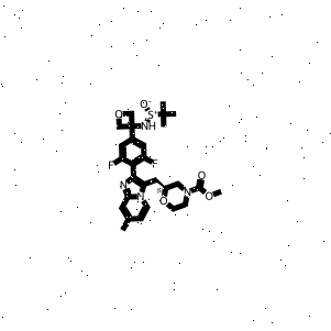 COC(=O)N1CCO[C@@H](Cc2c(-c3c(F)cc(C4(N[S+]([O-])C(C)(C)C)COC4)cc3F)nc3cc(C)ccn23)C1